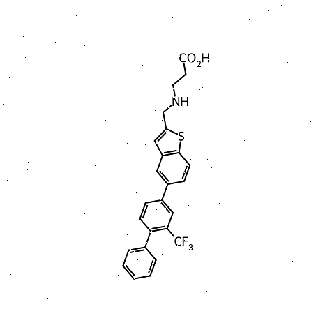 O=C(O)CCNCc1cc2cc(-c3ccc(-c4ccccc4)c(C(F)(F)F)c3)ccc2s1